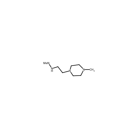 CNNCCN1CCN(C)CC1